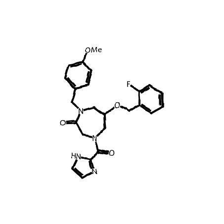 COc1ccc(CN2CC(OCc3ccccc3F)CN(C(=O)c3ncc[nH]3)CC2=O)cc1